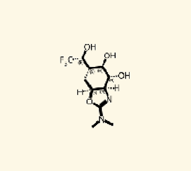 CN(C)C1=N[C@@H]2[C@@H](O)[C@H](O)[C@@H]([C@@H](O)C(F)(F)F)C[C@@H]2O1